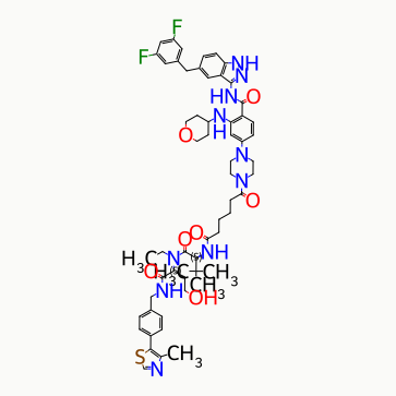 CCN(C(=O)[C@@H](NC(=O)CCCCC(=O)N1CCN(c2ccc(C(=O)Nc3n[nH]c4ccc(Cc5cc(F)cc(F)c5)cc34)c(NC3CCOCC3)c2)CC1)C(C)(C)C)[C@@H](CCO)C(=O)NCc1ccc(-c2scnc2C)cc1